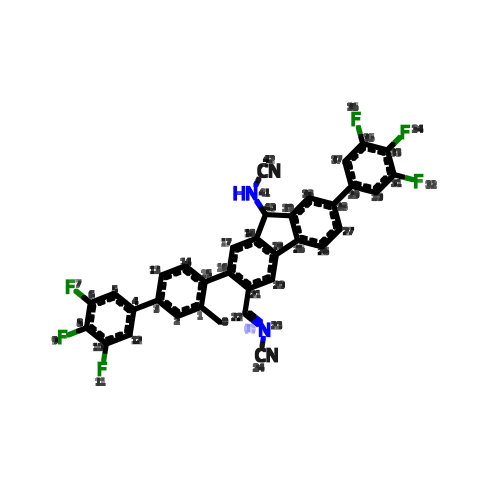 Cc1cc(-c2cc(F)c(F)c(F)c2)ccc1-c1cc2c(cc1/C=N/C#N)-c1ccc(-c3cc(F)c(F)c(F)c3)cc1C2NC#N